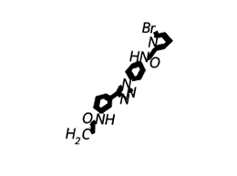 C=CC(=O)Nc1cccc(-c2cn(-c3ccc(NC(=O)c4cccc(Br)n4)cc3)nn2)c1